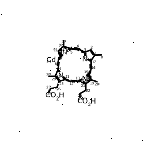 CC1=Cc2cc3[nH]c(cc4nc(cc5[nH]c(cc1n2)c(C)c5CCC(=O)O)C(CCC(=O)O)=C4C)cc3C.[Cd]